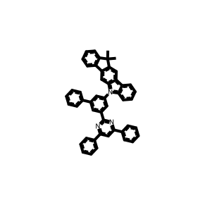 CC1(C)c2ccccc2-c2cc3c(cc21)c1ccccc1n3-c1cc(-c2ccccc2)cc(-c2nc(-c3ccccc3)cc(-c3ccccc3)n2)c1